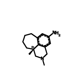 CN1Cc2cc(N)cc3c2[C@@](C)(CCCC3)C1